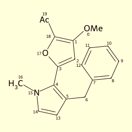 COc1cc(-c2c(Cc3ccccc3)ccn2C)oc1C(C)=O